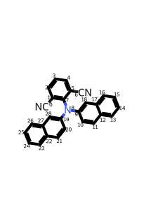 N#Cc1cccc(C#N)c1N(c1ccc2ccccc2c1)c1ccc2ccccc2c1